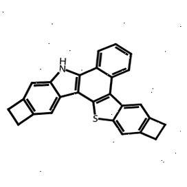 c1ccc2c(c1)c1[nH]c3cc4c(cc3c1c1sc3cc5c(cc3c21)CC5)CC4